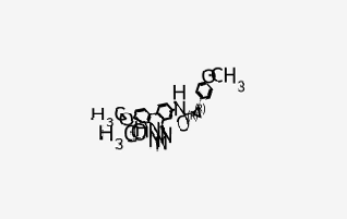 COc1ccc([C@@H]2C[C@H]2C(=O)Nc2ccc(-c3ccc(OC)c(OC)c3)c(-c3nnn[nH]3)c2)cc1